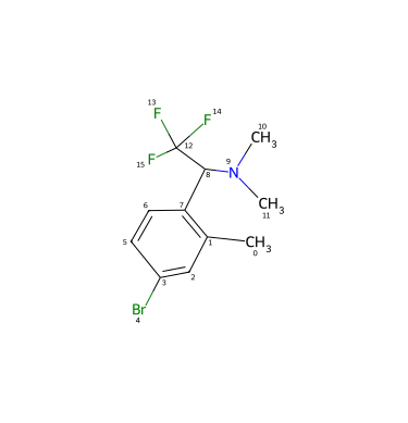 Cc1cc(Br)ccc1C(N(C)C)C(F)(F)F